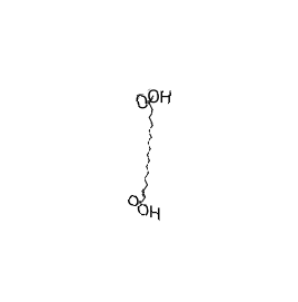 O=C(O)C=CCCCCCCCCCCCCCC(=O)O